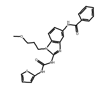 COCCCn1c(NC(=O)Nc2cccs2)nc2cc(NC(=O)c3ccccc3)ccc21